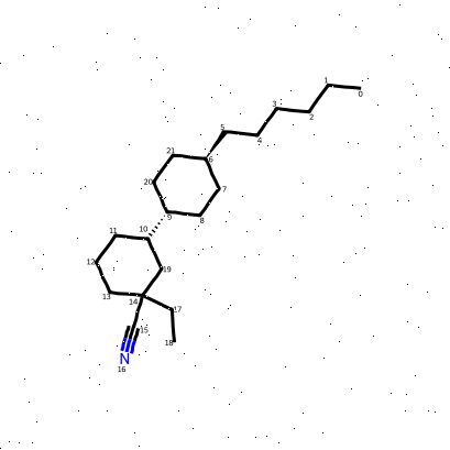 CCCCCC[C@H]1CC[C@H](C2CCCC(C#N)(CC)C2)CC1